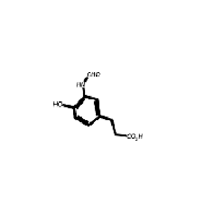 O=CNc1cc(CCC(=O)O)ccc1O